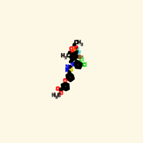 CCOP(=O)(OCC)C(F)(F)c1ccc(CN(c2ccc(Cl)c(Cl)c2)c2nnc(-c3cccc(Oc4cccc(C(=O)OC)c4)c3)s2)cc1Br